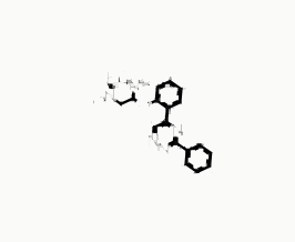 CN(C)CC(Oc1ccccc1-c1cnnc(-c2ccccc2)n1)N(C)C